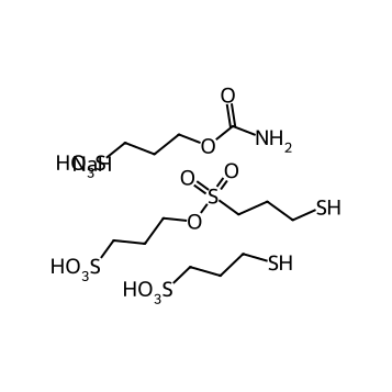 NC(=O)OCCCS(=O)(=O)O.O=S(=O)(O)CCCOS(=O)(=O)CCCS.O=S(=O)(O)CCCS.[NaH]